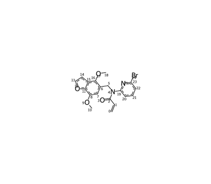 C=CC(=O)N(Cc1cc(OC)c2occc2c1OC)c1cccc(Br)n1